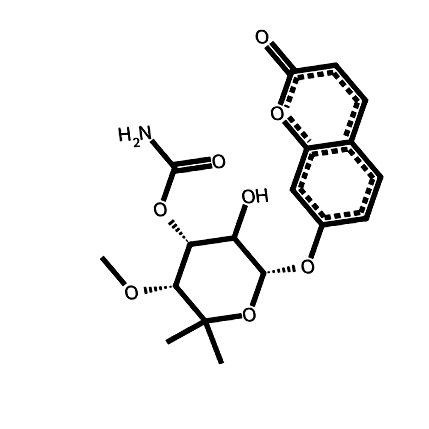 CO[C@@H]1[C@H](OC(N)=O)C(O)[C@H](Oc2ccc3ccc(=O)oc3c2)OC1(C)C